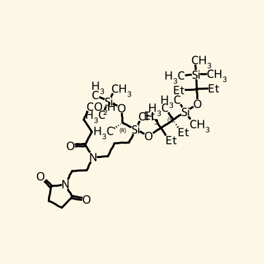 CCC(CC)(O[Si](C)(CCCN(CCN1C(=O)CCC1=O)C(=O)CCC(=O)O)[C@H](C)O[Si](C)(C)C)[C@](C)(CC)[Si](C)(C)OC(CC)(CC)[Si](C)(C)C